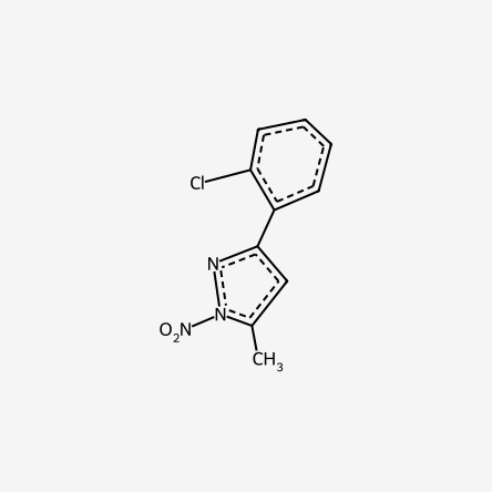 Cc1cc(-c2ccccc2Cl)nn1[N+](=O)[O-]